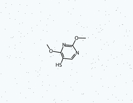 COc1ncc(S)c(OC)n1